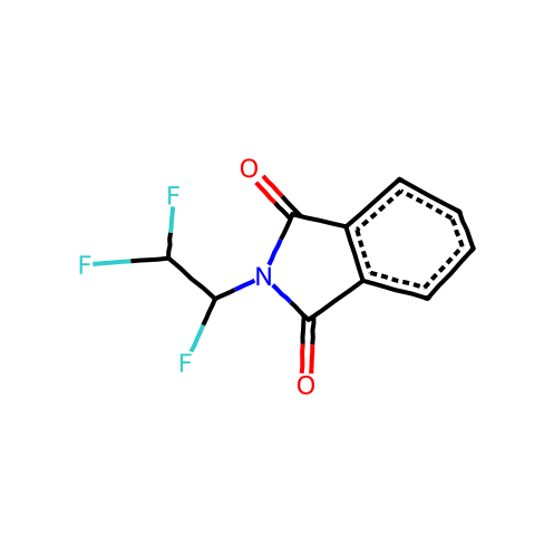 O=C1c2ccccc2C(=O)N1C(F)C(F)F